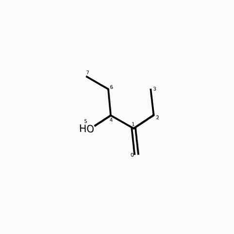 C=C(CC)C(O)CC